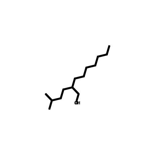 CCCCCCCC(CO)CCC(C)C